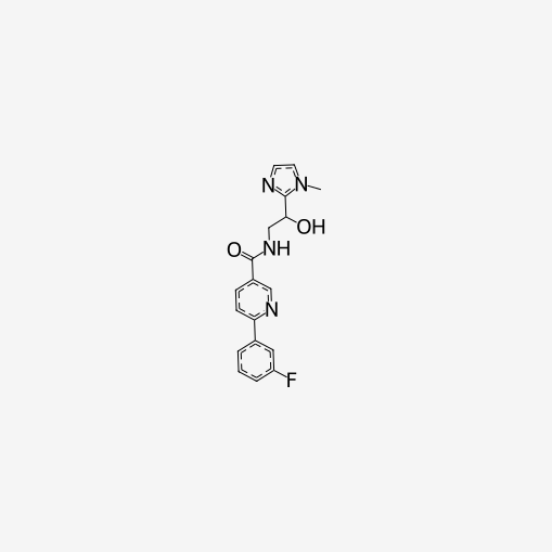 Cn1ccnc1C(O)CNC(=O)c1ccc(-c2cccc(F)c2)nc1